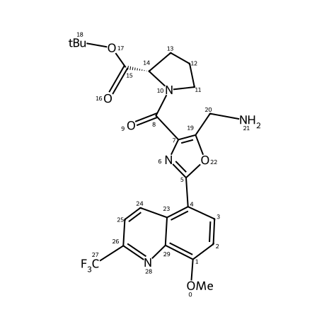 COc1ccc(-c2nc(C(=O)N3CCC[C@H]3C(=O)OC(C)(C)C)c(CN)o2)c2ccc(C(F)(F)F)nc12